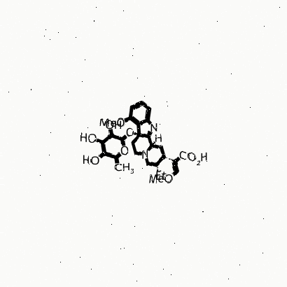 CC[C@@H]1CN2CC[C@@]3(OC4OC(C)C(O)C(O)C4O)C(=Nc4cccc(OC)c43)[C@@H]2C[C@@H]1/C(=C\OC)C(=O)O